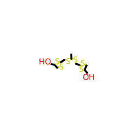 CC(SCC1SCC(CO)S1)SCC1SCC(CO)S1